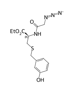 CCOC(=O)[C@H](CSCc1cccc(O)c1)NC(=O)CN=[N+]=[N-]